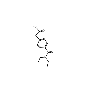 CCN(CC)C(=O)c1ccc(CC(=O)O)cc1